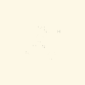 CC(=O)C[C@H]1CN(Cc2ccccc2)c2cc(N(C(=O)O)C(C)(C)C)ccc2O1